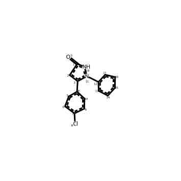 O=c1cc(-c2ccc(Cl)cc2)n(-c2ccccc2)[nH]1